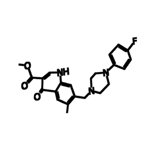 COC(=O)c1c[nH]c2cc(CN3CCN(c4ccc(F)cc4)CC3)c(C)cc2c1=O